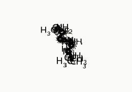 CC(C)(C)C(=O)Nc1cncc(-c2ccc3[nH]nc(-c4cc5c(-c6cc(F)cc(C(N)S(C)(=O)=O)c6)cccc5[nH]4)c3n2)c1